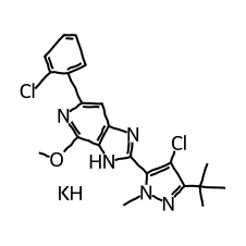 COc1nc(-c2ccccc2Cl)cc2nc(-c3c(Cl)c(C(C)(C)C)nn3C)[nH]c12.[KH]